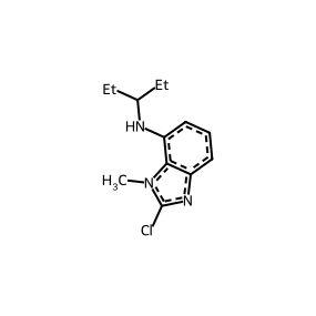 CCC(CC)Nc1cccc2nc(Cl)n(C)c12